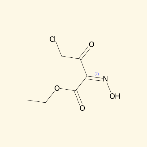 CCOC(=O)/C(=N\O)C(=O)CCl